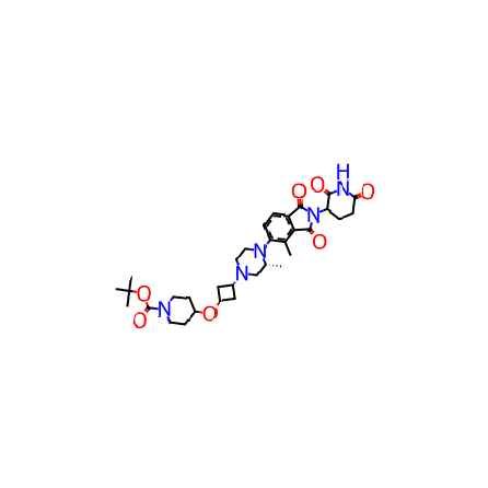 Cc1c(N2CCN([C@H]3C[C@H](OC4CCN(C(=O)OC(C)(C)C)CC4)C3)C[C@H]2C)ccc2c1C(=O)N(C1CCC(=O)NC1=O)C2=O